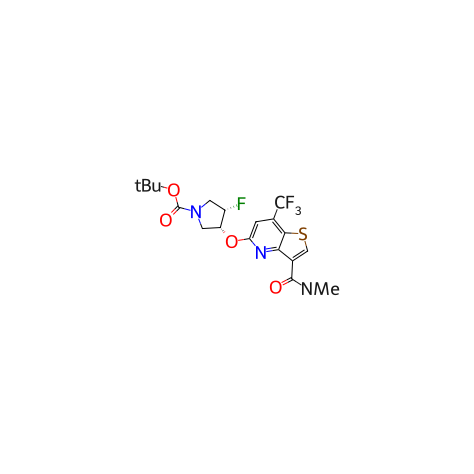 CNC(=O)c1csc2c(C(F)(F)F)cc(O[C@@H]3CN(C(=O)OC(C)(C)C)C[C@@H]3F)nc12